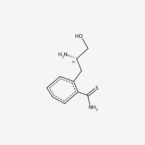 NC(=S)c1ccccc1C[C@H](N)CO